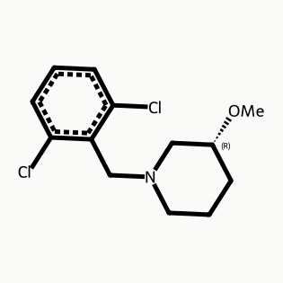 CO[C@@H]1CCCN(Cc2c(Cl)cccc2Cl)C1